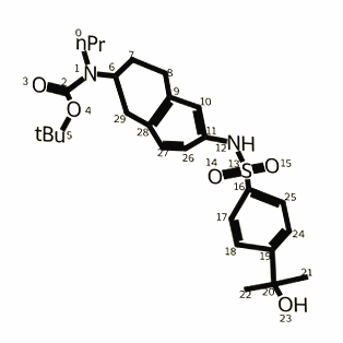 CCCN(C(=O)OC(C)(C)C)C1CCc2cc(NS(=O)(=O)c3ccc(C(C)(C)O)cc3)ccc2C1